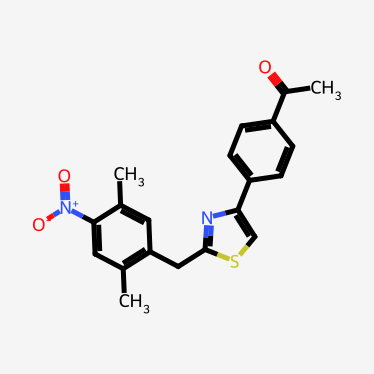 CC(=O)c1ccc(-c2csc(Cc3cc(C)c([N+](=O)[O-])cc3C)n2)cc1